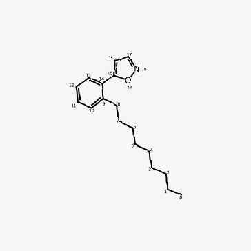 CCCCCCCCCc1ccccc1-c1ccno1